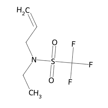 C=CCN(CC)S(=O)(=O)C(F)(F)F